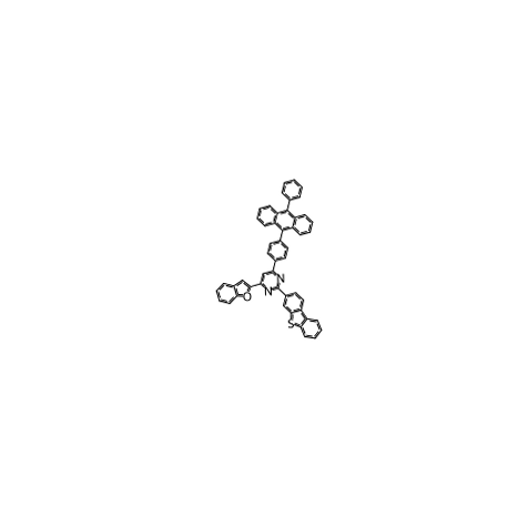 c1ccc(-c2c3ccccc3c(-c3ccc(-c4cc(-c5cc6ccccc6o5)nc(-c5ccc6c(c5)sc5ccccc56)n4)cc3)c3ccccc23)cc1